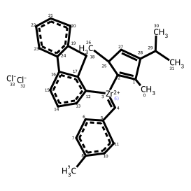 CC1=[C](/[Zr+2](=[CH]/c2ccc(C)cc2)[c]2cccc3c2Cc2ccccc2-3)C(C)C=C1C(C)C.[Cl-].[Cl-]